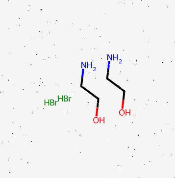 Br.Br.NCCO.NCCO